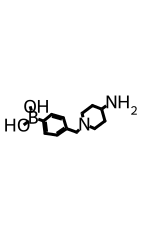 NC1CCN(Cc2ccc(B(O)O)cc2)CC1